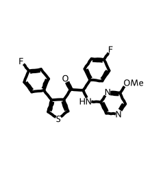 COc1cncc(NC(C(=O)c2cscc2-c2ccc(F)cc2)c2ccc(F)cc2)n1